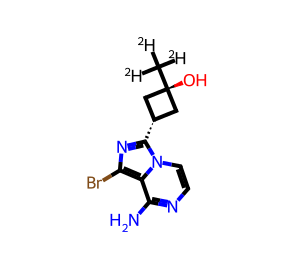 [2H]C([2H])([2H])[C@]1(O)C[C@H](c2nc(Br)c3c(N)nccn32)C1